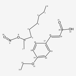 CCCCCCC(C)ON=O.CCOc1ccc(C=CC(=O)O)cc1